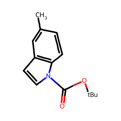 Cc1ccc2c(ccn2C(=O)OC(C)(C)C)c1